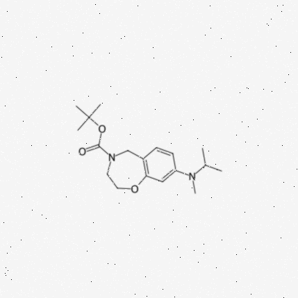 CC(C)N(C)c1ccc2c(c1)OCCN(C(=O)OC(C)(C)C)C2